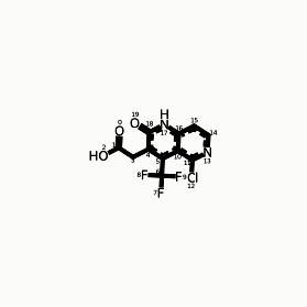 O=C(O)Cc1c(C(F)(F)F)c2c(Cl)nccc2[nH]c1=O